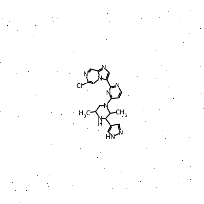 CC1CN(c2ccnc(-c3cnc4cnc(Cl)cn34)n2)C(C)C(c2cn[nH]c2)N1